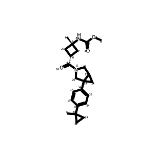 COC(=O)N[C@]1(C)C[C@H](C(=O)N2CC3CC3(c3ccc(C4(C)CC4)cc3)C2)C1